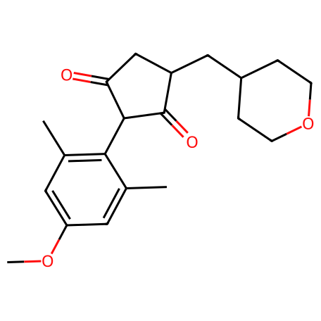 COc1cc(C)c(C2C(=O)CC(CC3CCOCC3)C2=O)c(C)c1